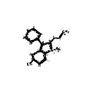 C=CCc1c(-c2ccccc2)c2cc(Cl)ccc2n1C(C)=O